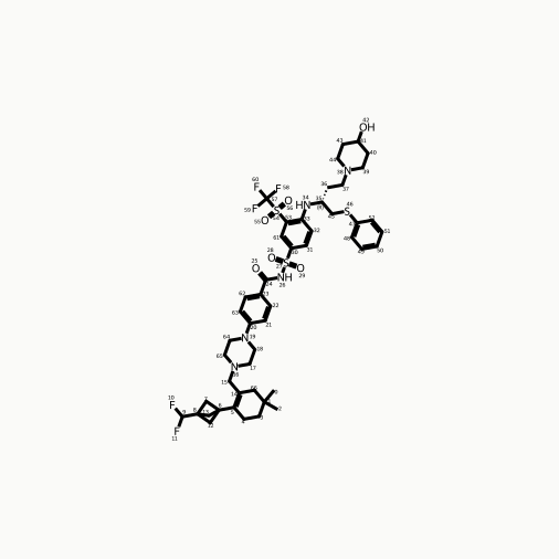 CC1(C)CCC(C23CC(C(F)F)(C2)C3)=C(CN2CCN(c3ccc(C(=O)NS(=O)(=O)c4ccc(N[C@H](CCN5CCC(O)CC5)CSc5ccccc5)c(S(=O)(=O)C(F)(F)F)c4)cc3)CC2)C1